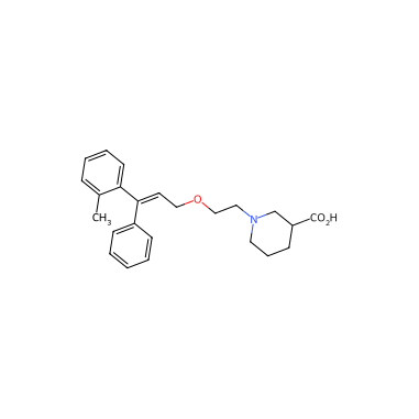 Cc1ccccc1C(=CCOCCN1CCCC(C(=O)O)C1)c1ccccc1